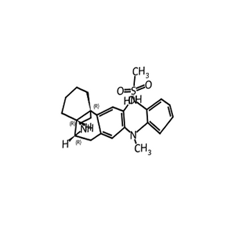 CN(c1cc2c(cc1O)[C@@]13CCCC[C@H]1[C@@H](C2)NCC3)c1ccccc1NS(C)(=O)=O